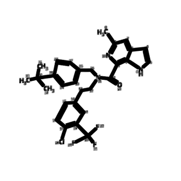 Cc1cc2cc[nH]c2c(C(=O)N(CCc2ccc(Cl)c(C(F)(F)F)c2)Cc2ccc(C(C)(C)C)cc2)n1